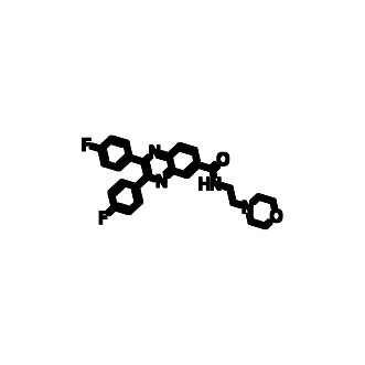 O=C(NCCN1CCOCC1)c1ccc2nc(-c3ccc(F)cc3)c(-c3ccc(F)cc3)nc2c1